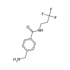 NCc1ccc(C(=O)NCCC(F)(F)F)cc1